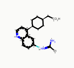 CCC(=N)N.O=C(O)C[C@H]1CC[C@@H](c2ccnc3ccc(F)cc32)CC1